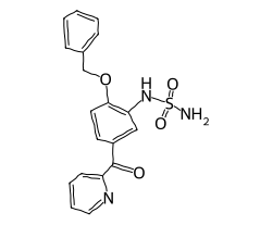 NS(=O)(=O)Nc1cc(C(=O)c2ccccn2)ccc1OCc1ccccc1